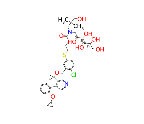 CC(C)(CO)CN(C[C@@H](O)[C@H](O)[C@@H](O)[C@@H](O)CO)C(=O)CCCSc1ccc(Cl)c(COC2(c3cnccc3-c3ccccc3OC3CC3)CC2)c1